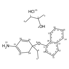 CCC(C)O.CCC1(Oc2cccc3ccccc23)C=CC(N)=CC1.Cl